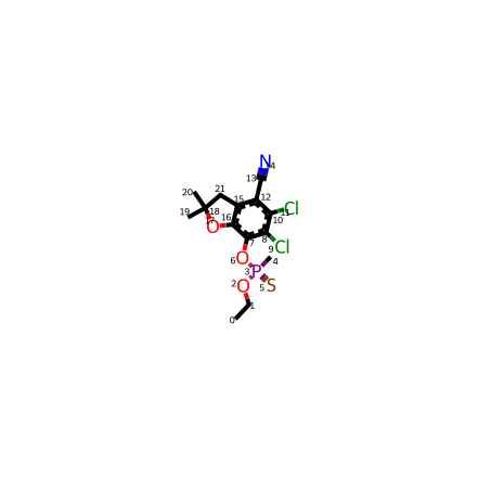 CCOP(C)(=S)Oc1c(Cl)c(Cl)c(C#N)c2c1OC(C)(C)C2